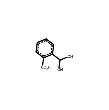 O=C(O)c1ccccc1C(O)O